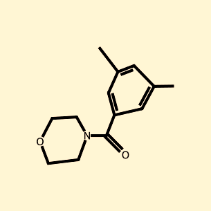 Cc1cc(C)cc(C(=O)N2CCOCC2)c1